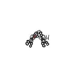 OCCOc1ccc2ccccc2c1-c1c(OCCOc2ccc3ccc4c(c3c2)C(c2cccc3ccccc23)c2c(ccc3ccc(OCCOc5ccc6ccccc6c5-c5c(OCCO)ccc6ccccc56)cc23)O4)ccc2ccccc12